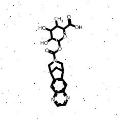 CC1C(C(=O)O)OC(OC(=O)N2CC3CC(C2)c2cc4nccnc4cc23)C(O)C1O